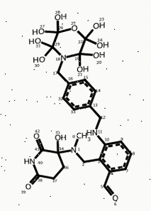 CN(Cc1c(C=O)cccc1NCc1ccc(CN2C(O)(O)C(O)(O)OC(O)(O)C2(O)O)cc1)C1(O)CCC(=O)NC1=O